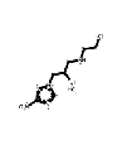 Cl.O=[N+]([O-])c1ncn(CC(O)CNCCCl)n1